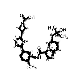 Cc1ccc(-c2noc(C3CN(C(=O)O)C3)n2)cc1NC(=O)c1cnc2ccc(CC(C)(C)O)cn12